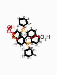 O=S(=O)(O)c1ccc(P(c2ccccc2)c2ccccc2)c(-c2cc(SOOO)ccc2P(c2ccccc2)c2ccccc2)c1